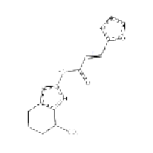 O=C(/C=C/c1ccco1)Nc1nc2c(s1)CCCC2C(=O)O